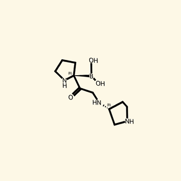 O=C(CN[C@@H]1CCNC1)[C@@]1(B(O)O)CCCN1